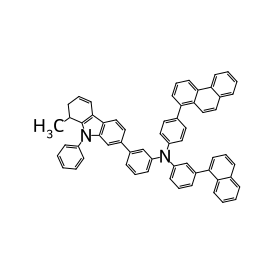 CC1CC=Cc2c1n(-c1ccccc1)c1cc(-c3cccc(N(c4ccc(-c5cccc6c5ccc5ccccc56)cc4)c4cccc(-c5cccc6ccccc56)c4)c3)ccc21